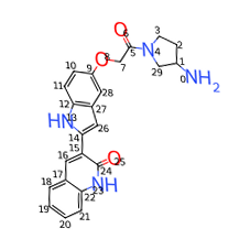 NC1CCN(C(=O)COc2ccc3[nH]c(-c4cc5ccccc5[nH]c4=O)cc3c2)C1